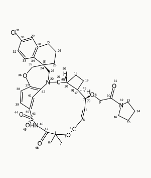 CC1(C)OCC=C[C@H](OCC(=O)N2CCCC2)[C@@H]2CC[C@H]2CN2C[C@@]3(CCCc4cc(Cl)ccc43)COc3ccc(cc32)S(=O)(=O)NC1=O